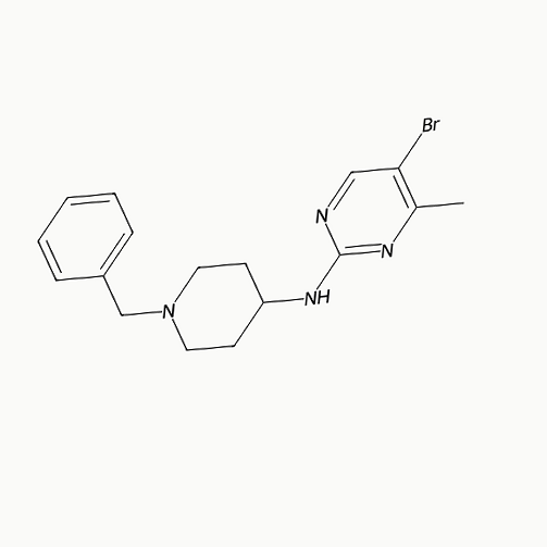 Cc1nc(NC2CCN(Cc3ccccc3)CC2)ncc1Br